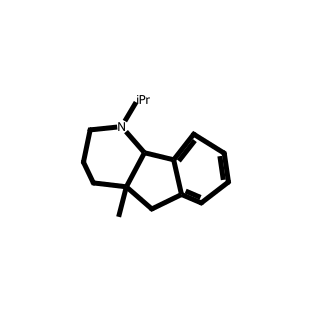 CC(C)N1CCCC2(C)Cc3ccccc3C12